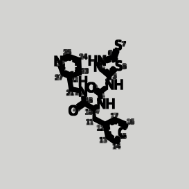 O=C(Nc1n[nH]c(=S)s1)N[C@@H](Cc1ccccc1)C(=O)NCc1cccnc1